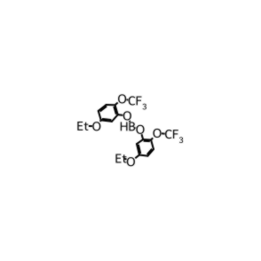 CCOc1ccc(OC(F)(F)F)c(OBOc2cc(OCC)ccc2OC(F)(F)F)c1